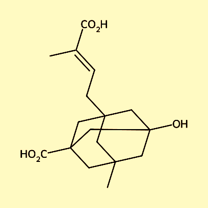 CC(=CCC12CC3(C)CC(O)(C1)CC(C(=O)O)(C3)C2)C(=O)O